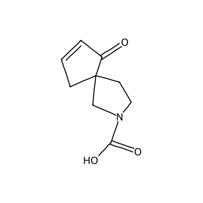 O=C(O)N1CCC2(CC=CC2=O)C1